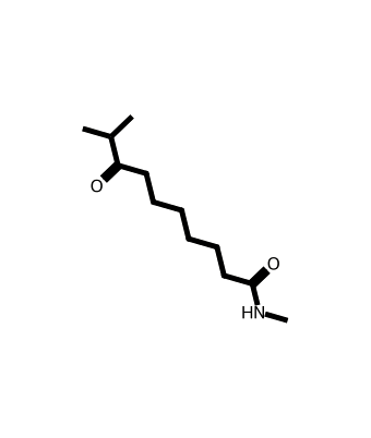 CNC(=O)CCCCCCC(=O)C(C)C